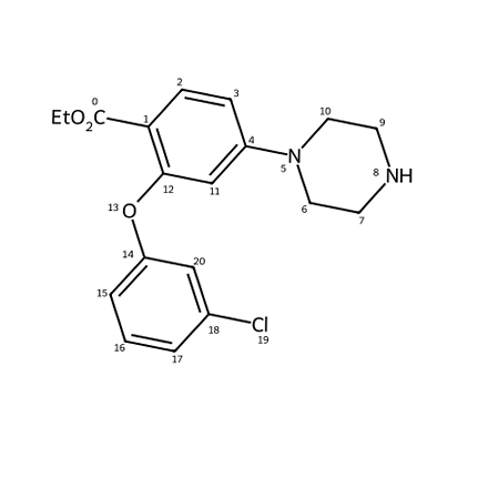 CCOC(=O)c1ccc(N2CCNCC2)cc1Oc1cccc(Cl)c1